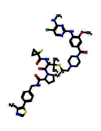 CNc1nc(Nc2ccc(C(=O)N3CCN(C[C@H](C)SC(C)(C)[C@H](NC(=O)C4(F)CC4)C(=O)N4CCCC4C(=O)NCc4ccc(-c5scnc5C)cc4)CC3)cc2OC)ncc1Cl